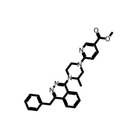 COC(=O)c1ccc(N2CCN(c3nnc(Cc4ccccc4)c4ccccc34)C(C)C2)nc1